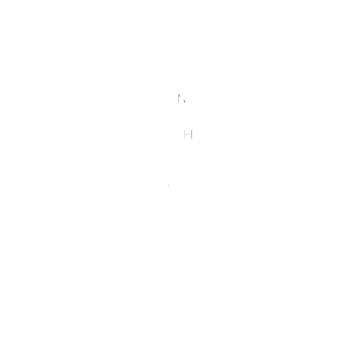 CCCC(CCC)CSc1cccc(CC(O)CN)c1